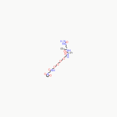 CC(C)[C@H](NC(=O)CCOCCOCCOCCOCCNC(=O)CCN1C(=O)C=CC1=O)C(=O)N[C@@H](CCCNC(N)=O)C(=O)C(C)(C)C